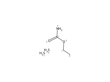 CCOC(N)=O.S.S